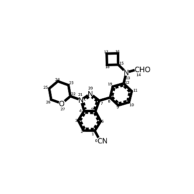 N#Cc1ccc2c(c1)c(-c1cccc(N(C=O)C3CCC3)c1)nn2C1CCCCO1